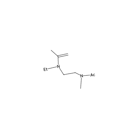 C=C(C)N(CC)CCN(C)C(C)=O